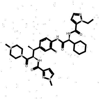 CCn1nccc1C(=O)N[C@H](C(=O)Nc1ccc([C@H](C)[C@@H](NC(=O)c2ccn(C)n2)C(=O)N2CCN(C)CC2)cc1F)C1CCCCC1